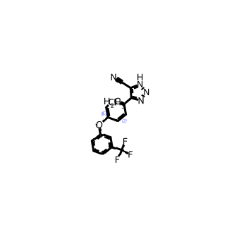 C=C(/C=C\C(=C/C)Oc1cccc(C(F)(F)F)c1)c1nn[nH]c1C#N